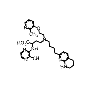 Cc1ncccc1OCCN(CCCCc1ccc2c(n1)NCCC2)CCC(Nc1nccnc1C#N)C(=O)O